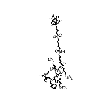 CCN(CCCCN)C(=O)CN(Cc1ccccc1)C(=O)CN(CCCCN)C(=O)CN(CCCCN)C(=O)CN(CCCCN)C(=O)CCCCCNC(=O)CCCCCNC(=O)CCCCC1SC[C@@H]2NC(=O)N[C@H]12